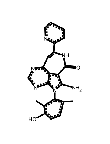 Cc1ccc(O)c(C)c1-n1c(N)c2c3c(ncnc31)C=C(c1ccccn1)NC2=O